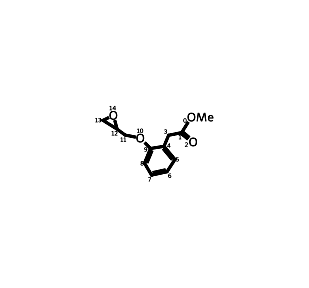 COC(=O)Cc1ccccc1OCC1CO1